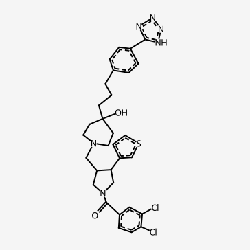 O=C(c1ccc(Cl)c(Cl)c1)N1CC(CN2CCC(O)(CCCc3ccc(-c4nnn[nH]4)cc3)CC2)C(c2ccsc2)C1